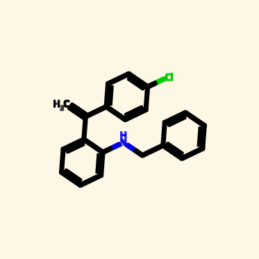 C=C(c1ccc(Cl)cc1)c1ccccc1NCc1ccccc1